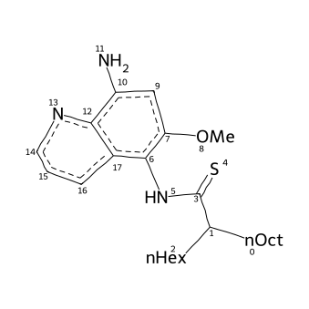 CCCCCCCCC(CCCCCC)C(=S)Nc1c(OC)cc(N)c2ncccc12